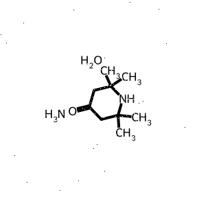 CC1(C)CC(=O)CC(C)(C)N1.N.O